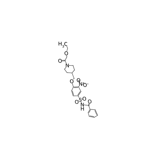 CCOCC(=O)N1CCC(COc2ccc(S(=O)(=O)NC(=O)c3ccccc3)cc2[N+](=O)[O-])CC1